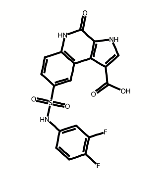 O=C(O)c1c[nH]c2c(=O)[nH]c3ccc(S(=O)(=O)Nc4ccc(F)c(F)c4)cc3c12